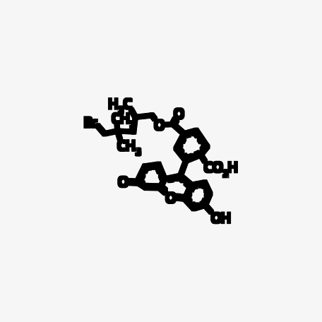 CC(COC(=O)c1ccc(C(=O)O)c(-c2c3ccc(=O)cc-3oc3cc(O)ccc23)c1)CC(C)(C)CBr